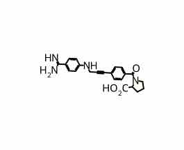 N=C(N)c1ccc(NCC#Cc2ccc(C(=O)N3CCCC3C(=O)O)cc2)cc1